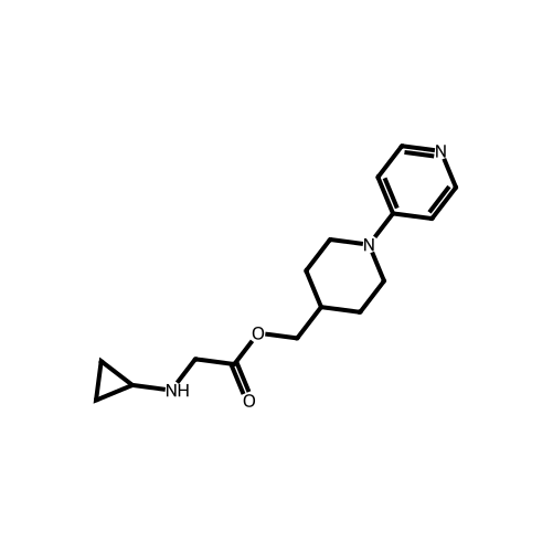 O=C(CNC1CC1)OCC1CCN(c2ccncc2)CC1